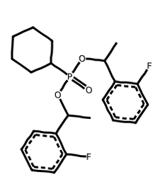 CC(OP(=O)(OC(C)c1ccccc1F)C1CCCCC1)c1ccccc1F